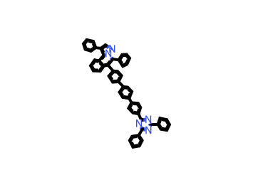 c1ccc(-c2nc(-c3ccccc3)nc(-c3ccc(-c4ccc(-c5ccc(-c6c(-c7ccccc7)n7ncc(-c8ccccc8)c7c7ccccc67)cc5)cc4)cc3)n2)cc1